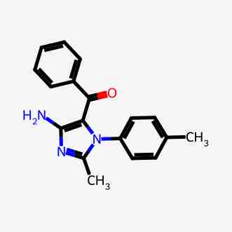 Cc1ccc(-n2c(C)nc(N)c2C(=O)c2ccccc2)cc1